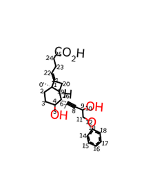 C[C@@]12CC[C@H](O)[C@@H](C#CC(O)COc3ccccc3)[C@@H]1CC2=CCCC(=O)O